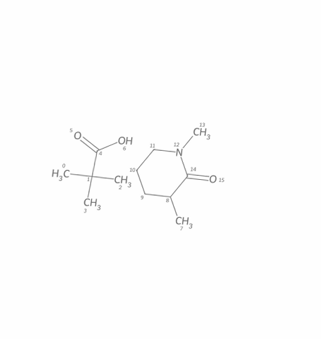 CC(C)(C)C(=O)O.CC1CCCN(C)C1=O